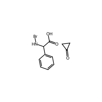 O=C(O)C(NBr)c1ccccc1.O=C1CC1